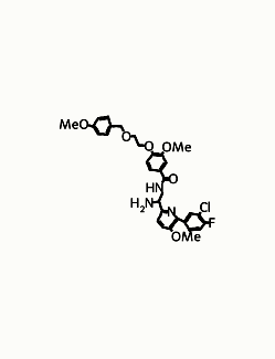 COc1ccc(COCCOc2ccc(C(=O)NCC(N)c3ccc(OC)c(-c4ccc(F)c(Cl)c4)n3)cc2OC)cc1